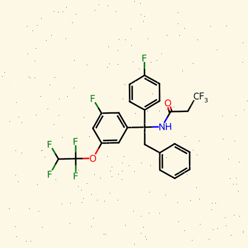 O=C(CC(F)(F)F)NC(Cc1ccccc1)(c1ccc(F)cc1)c1cc(F)cc(OC(F)(F)C(F)F)c1